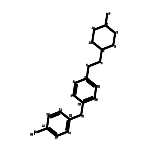 CC1CCC(CCc2ccc(Cc3ccc(F)cc3)cc2)CC1